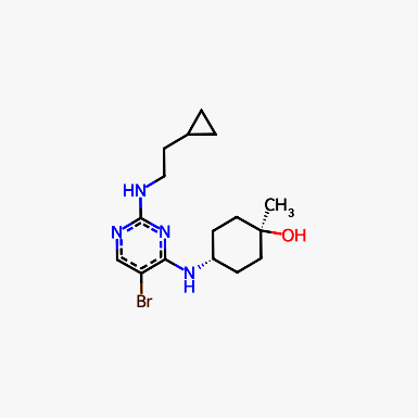 C[C@]1(O)CC[C@H](Nc2nc(NCCC3CC3)ncc2Br)CC1